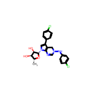 C[C@H]1O[C@@H](n2cc(-c3ccc(Cl)cc3)c3c2N=CN(Nc2ccc(Cl)cc2)C3)[C@H](O)[C@@H]1O